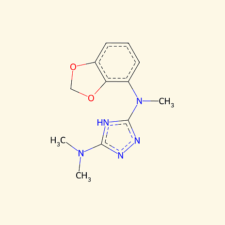 CN(C)c1nnc(N(C)c2cccc3c2OCO3)[nH]1